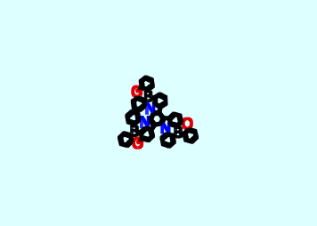 c1ccc2c(c1)Oc1ccc3c4c5c6cccc7c6n(c5c5c(c6ccc8c9c6n5-c5ccccc5B9c5ccccc5O8)c4n4c3c1B2c1ccccc1-4)-c1cccc2c1B7c1ccccc1O2